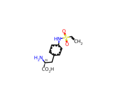 C=CS(=O)(=O)Nc1ccc(C[C@H](N)C(=O)O)cc1